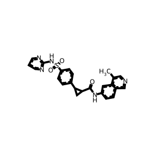 Cc1cncc2ccc(NC(=O)C3CC3c3ccc(S(=O)(=O)Nc4ncccn4)cc3)cc12